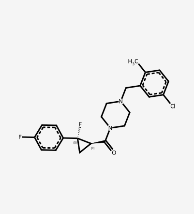 Cc1ccc(Cl)cc1CN1CCN(C(=O)[C@H]2C[C@@]2(F)c2ccc(F)cc2)CC1